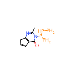 Cc1nc2c(c(=O)n1P(P)PP)C=CC2